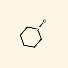 [O-][S+]1C[C]CCC1